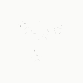 CC(C)C[C@@H]1CN(C(=O)[C@H](N)Cc2ccc(Cl)cc2Cl)[C@@H](CCCNc2nncs2)CN1C(=O)C[C@@H](C)c1ccccc1